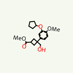 COC(=O)C1CC(CO)(c2ccc(OC)c(OC3CCCC3)c2)C1